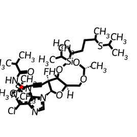 CC(C)SC(C)CCC(C)[Si]1(C(C)C)O[C@H](C)OC[C@H]2O[C@@H](n3cnc4c(Cl)nc(NC(=O)C(C)C)nc43)[C@@](F)(C#C[Si](C)(C)C)[C@@H]2O1